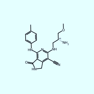 COC[C@H](N)CNc1nc(Nc2ccc(C)cc2)c2c(c1C#N)CNC2=O